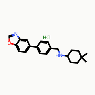 CC1(C)CCC(NCc2ccc(-c3ccc4ocnc4c3)cc2)CC1.Cl